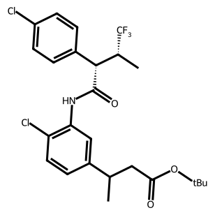 CC(CC(=O)OC(C)(C)C)c1ccc(Cl)c(NC(=O)[C@H](c2ccc(Cl)cc2)[C@@H](C)C(F)(F)F)c1